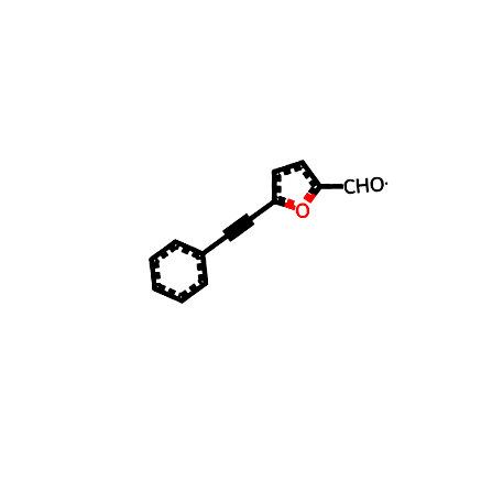 O=[C]c1ccc(C#Cc2ccccc2)o1